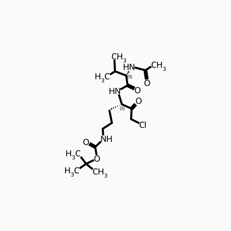 CC(=O)N[C@H](C(=O)N[C@@H](CCCNC(=O)OC(C)(C)C)C(=O)CCl)C(C)C